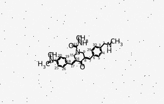 CNCc1ccc(/C=C2\CN(C(=O)NC)C/C(=C\c3ccc(N(C)C)cc3)C2=O)cc1